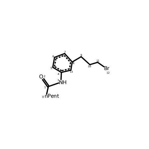 CCCCCC(=O)Nc1cccc(CCCBr)c1